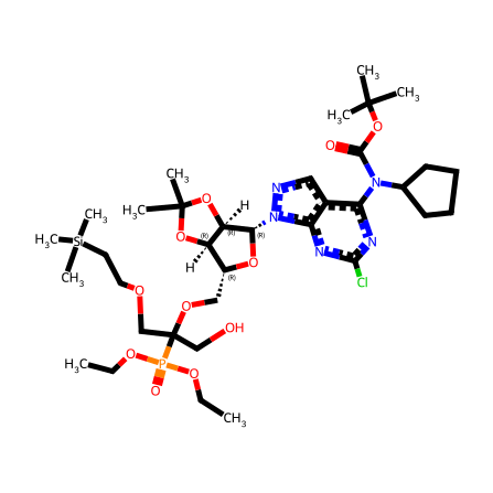 CCOP(=O)(OCC)C(CO)(COCC[Si](C)(C)C)OC[C@H]1O[C@@H](n2ncc3c(N(C(=O)OC(C)(C)C)C4CCCC4)nc(Cl)nc32)[C@@H]2OC(C)(C)O[C@@H]21